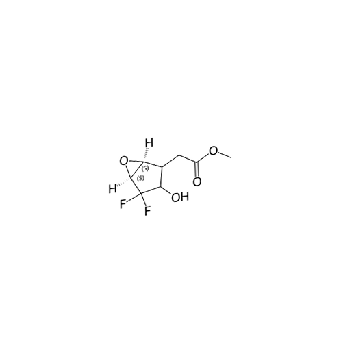 COC(=O)CC1C(O)C(F)(F)[C@H]2O[C@@H]12